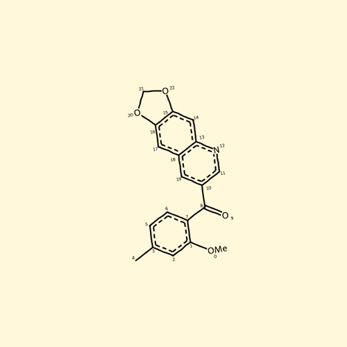 COc1cc(C)ccc1C(=O)c1cnc2cc3c(cc2c1)OCO3